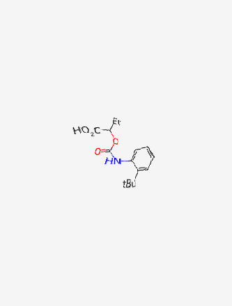 CCC(OC(=O)Nc1ccccc1C(C)(C)C)C(=O)O